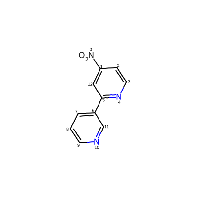 O=[N+]([O-])c1ccnc(-c2cccnc2)c1